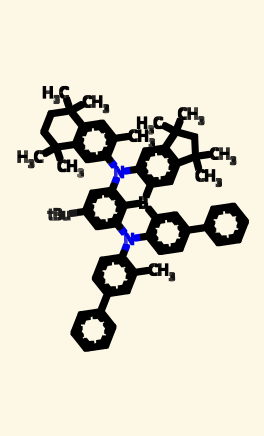 Cc1cc(-c2ccccc2)ccc1N1c2ccc(-c3ccccc3)cc2B2c3cc4c(cc3N(c3cc5c(cc3C)C(C)(C)CCC5(C)C)c3cc(C(C)(C)C)cc1c32)C(C)(C)CC4(C)C